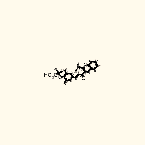 Cc1cc(C=CC(=O)c2cc3ccccc3nc2N(C)C)cc(C)c1OC(C)(C)C(=O)O